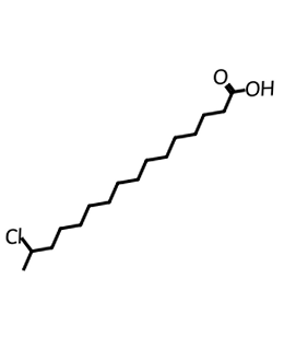 CC(Cl)CCCCCCCCCCCCCC(=O)O